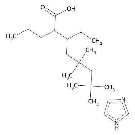 CCCC(C(=O)O)C(CC)CC(C)(C)CC(C)(C)C.c1c[nH]cn1